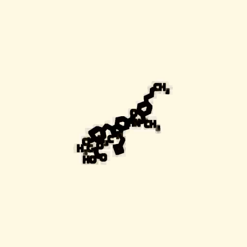 CCCCc1ccc([C@H](C)NC(=O)c2ccc3c(Cc4ccc(Cl)c(O[C@@H](C)C(=O)O)c4)c(C)n(CC4CCC4)c3c2)cc1